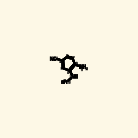 CCCNc1cc(C#N)ccc1N